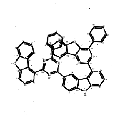 c1ccc(-c2nc(-c3ccc4oc5cccc(-c6nc(-c7ccccc7)c7sc8ccccc8c7n6)c5c4c3)nc(-c3cccc4oc5ccccc5c34)n2)cc1